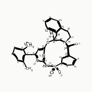 Cc1cccc(C)c1-c1cc2nc(n1)NS(=O)(=O)c1cccc(c1)C(=O)N1CCc3ccccc3[C@H](C1)O2